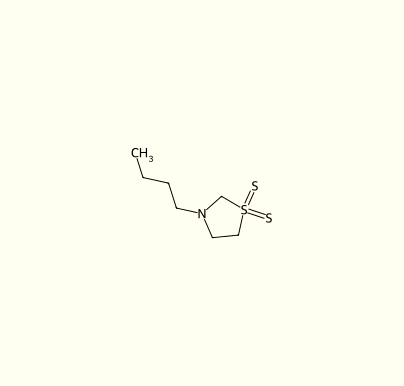 CCCCN1CCS(=S)(=S)C1